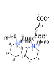 CCCCCC[N+]1(CCCCCC)CCCCC1.CCCCCC[N+]1(CCCCCC)CCCCC1.O=C([O-])C=CC(=O)[O-]